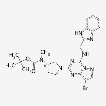 CN(C(=O)OC(C)(C)C)[C@H]1CCN(c2nc(NCc3nc4ccccc4[nH]3)n3ncc(Br)c3n2)C1